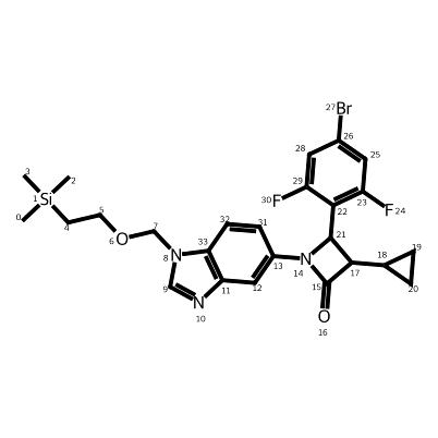 C[Si](C)(C)CCOCn1cnc2cc(N3C(=O)C(C4CC4)C3c3c(F)cc(Br)cc3F)ccc21